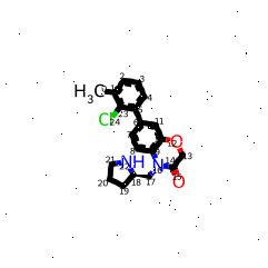 Cc1cccc(-c2ccc3c(c2)OCC(=O)N3C[C@H]2CCCN2)c1Cl